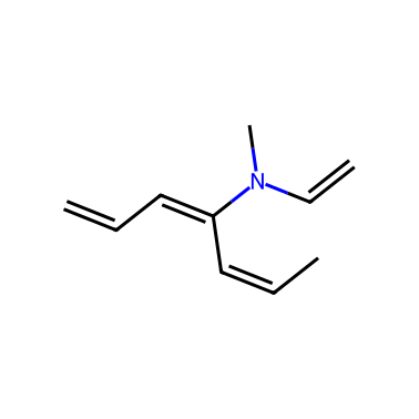 C=C/C=C(\C=C/C)N(C)C=C